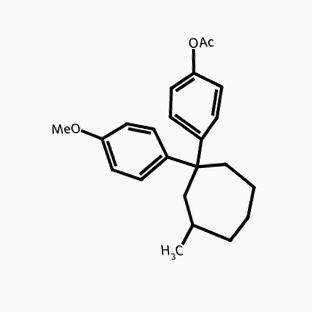 COc1ccc(C2(c3ccc(OC(C)=O)cc3)CCCCC(C)C2)cc1